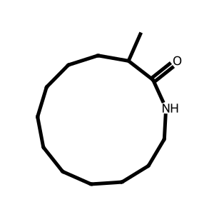 CC1CCCCCCCCCCNC1=O